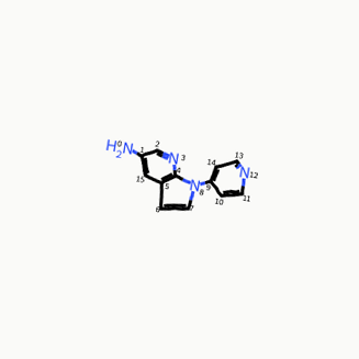 Nc1cnc2c(ccn2-c2ccncc2)c1